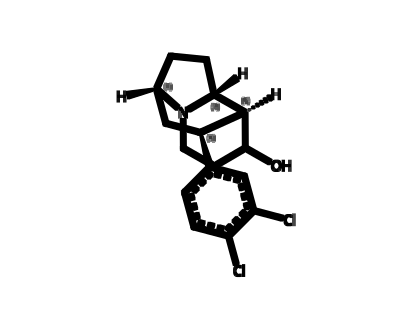 OC1CCN2[C@H]3CC[C@@H]2[C@@H]1[C@@H](c1ccc(Cl)c(Cl)c1)C3